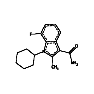 Cc1c(C(N)=O)c2cccc(F)c2n1C1CCCCC1